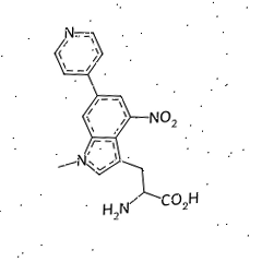 Cn1cc(CC(N)C(=O)O)c2c([N+](=O)[O-])cc(-c3ccncc3)cc21